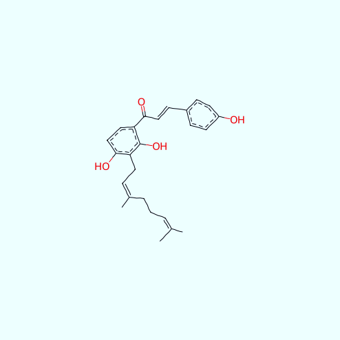 CC(C)=CCCC(C)=CCc1c(O)ccc(C(=O)C=Cc2ccc(O)cc2)c1O